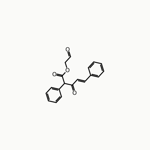 O=CCOC(=O)C(C(=O)C=Cc1ccccc1)c1ccccc1